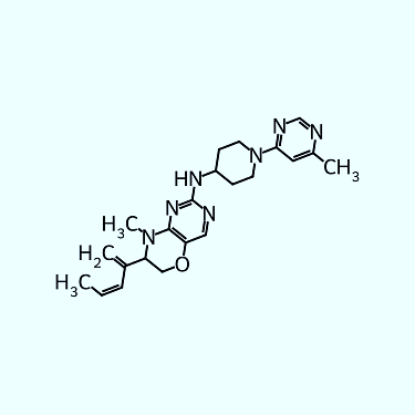 C=C(/C=C\C)C1COc2cnc(NC3CCN(c4cc(C)ncn4)CC3)nc2N1C